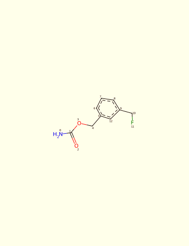 NC(=O)OCc1cccc(CF)c1